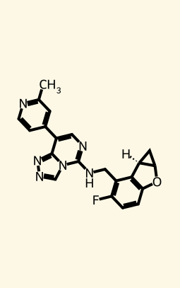 Cc1cc(-c2cnc(NCc3c(F)ccc4c3[C@H]3CC3O4)n3cnnc23)ccn1